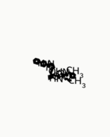 CCCC[C@H](NC(=O)OCC1(COc2ccnc(N3CCN(c4ccccc4)CC3)n2)CCC1)C(=O)C(=O)N[C@H](C)c1ccccc1